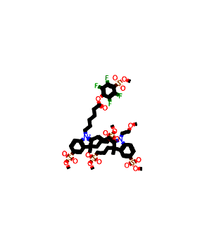 COCCN1/C(=C/C=C/C2=[N+](CCCCCC(=O)Oc3c(F)c(F)c(S(=O)(=O)OC)c(F)c3F)c3ccc(S(=O)(=O)OC)cc3C2(C)CCCS(=O)(=O)OC)C(C)(CCCS(=O)(=O)OC)c2cc(S(=O)(=O)OC)ccc21